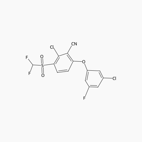 N#Cc1c(Oc2cc(F)cc(Cl)c2)ccc(S(=O)(=O)C(F)F)c1Cl